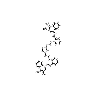 Nc1c(O)cc(/N=N/c2cccc[n+]2CCCn2cc[n+](CCC[n+]3ccccc3/N=N/c3cc(O)c(N)c4ccccc34)c2)c2ccccc12